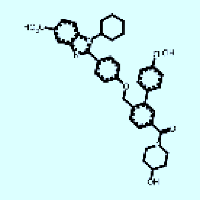 Cl.O=C(O)c1ccc2c(c1)nc(-c1ccc(OCc3ccc(C(=O)N4CCC(O)CC4)cc3-c3ccc(Cl)cc3)cc1)n2C1CCCCC1